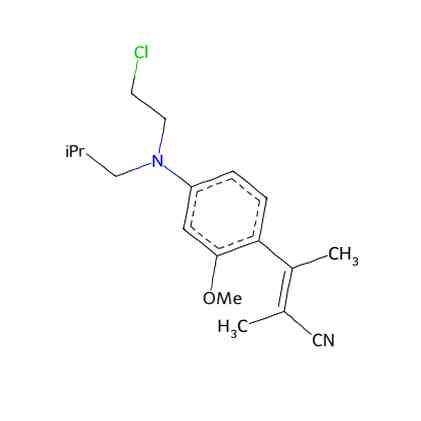 COc1cc(N(CCCl)CC(C)C)ccc1C(C)=C(C)C#N